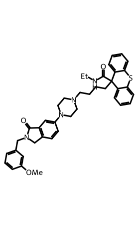 CCNC(=O)C1(CCCCN2CCN(c3ccc4c(c3)C(=O)N(Cc3cccc(OC)c3)C4)CC2)c2ccccc2Sc2ccccc21